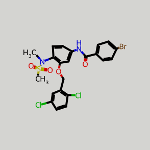 CN(c1ccc(NC(=O)c2ccc(Br)cc2)cc1OCc1cc(Cl)ccc1Cl)S(C)(=O)=O